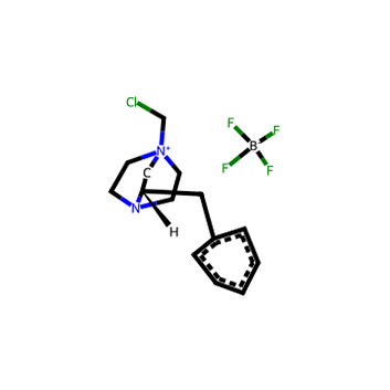 ClC[N+]12CCN(CC1)[C@@H](Cc1ccccc1)C2.F[B-](F)(F)F